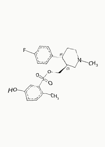 Cc1ccc(O)cc1S(=O)(=O)OC[C@@H]1CN(C)CC[C@H]1c1ccc(F)cc1